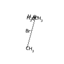 CCCCCCCCCCCCCCCCCCCCCCCCCCC[P+](C)(C)C.[Br-]